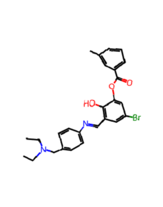 CCN(CC)Cc1ccc(N=Cc2cc(Br)cc(OC(=O)c3cccc(C)c3)c2O)cc1